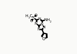 CS(=O)(=O)c1nc(N)n2nc(-c3ccoc3)nc2n1